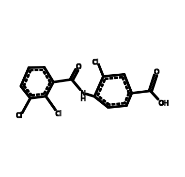 O=C(O)c1ccc(NC(=O)c2cccc(Cl)c2Cl)c(Cl)c1